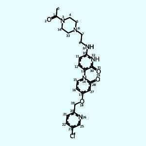 CC(=O)N1CCN(CCNc2ccc(-n3ccc(OCc4ccc(Cl)cn4)cc3=O)c(=O)[nH]2)CC1